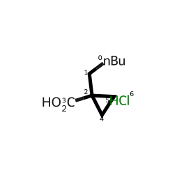 CCCCCC1(C(=O)O)CC1.Cl